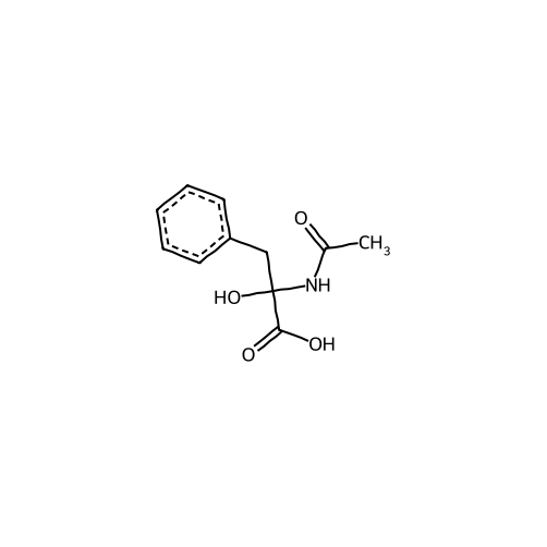 CC(=O)NC(O)(Cc1ccccc1)C(=O)O